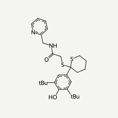 CC(C)(C)c1cc(C2(SCC(=O)NCc3ccccn3)CCCCS2)cc(C(C)(C)C)c1O